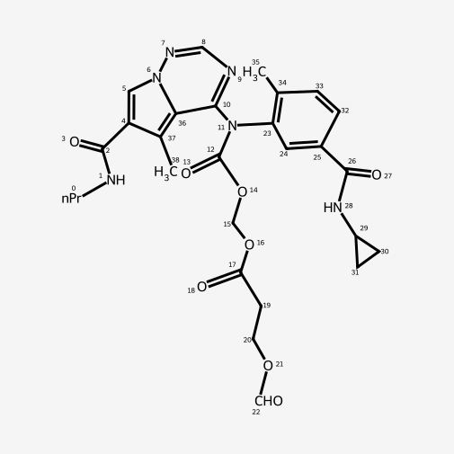 CCCNC(=O)c1cn2ncnc(N(C(=O)OCOC(=O)CCOC=O)c3cc(C(=O)NC4CC4)ccc3C)c2c1C